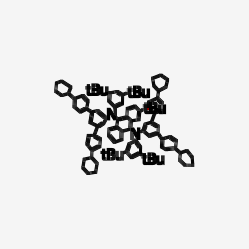 CC(C)(C)c1cc(N(c2cc(-c3ccc(C4CCCCC4)cc3)cc(-c3ccc(C4CCCCC4)cc3)c2)c2c3ccccc3c(N(c3cc(-c4ccc(C5CCCCC5)cc4)cc(-c4ccc(C5CCCCC5)cc4)c3)c3cc(C(C)(C)C)cc(C(C)(C)C)c3)c3cc(C(C)(C)C)ccc23)cc(C(C)(C)C)c1